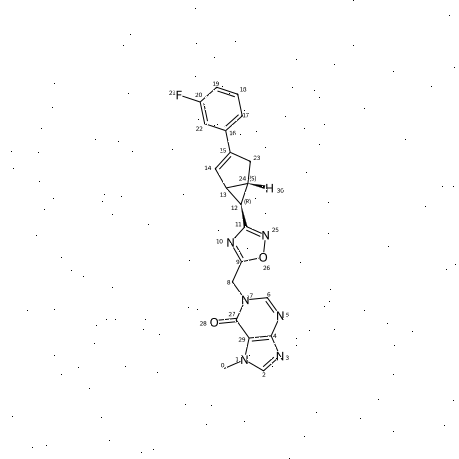 Cn1cnc2ncn(Cc3nc([C@H]4C5C=C(c6cccc(F)c6)C[C@@H]54)no3)c(=O)c21